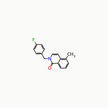 Cc1cccc2c(=O)n(Cc3ccc(F)cc3)ccc12